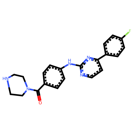 O=C(c1ccc(Nc2nccc(-c3ccc(F)cc3)n2)cc1)N1CCNCC1